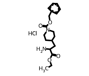 CCOC(=O)C(N)CC1CCN(C(=O)OCc2ccccc2)CC1.Cl